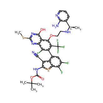 CSc1nc(O)c2c(OCCN[C@H](C)c3cccnc3N)c(C(F)(F)F)c(-c3cc(F)c(F)c4sc(NC(=O)OC(C)(C)C)c(C#N)c34)c(F)c2n1